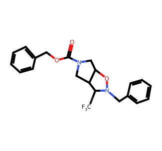 O=C(OCc1ccccc1)N1CC2ON(Cc3ccccc3)C(C(F)(F)F)C2C1